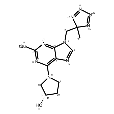 CC1(Cn2cnc3c(N4CC[C@H](O)C4)nc(C(C)(C)C)nc32)N=NN=N1